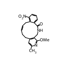 COc1nc(C)cc2c1CNC(=O)c1cccc([N+](=O)[O-])c1CC=CCC2